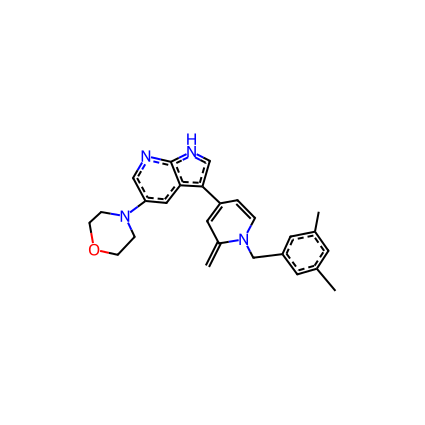 C=C1C=C(c2c[nH]c3ncc(N4CCOCC4)cc23)C=CN1Cc1cc(C)cc(C)c1